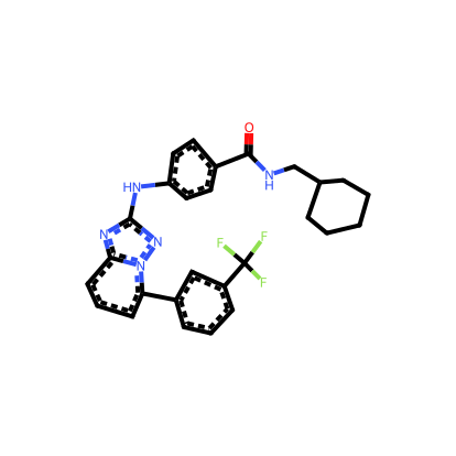 O=C(NCC1CCCCC1)c1ccc(Nc2nc3cccc(-c4cccc(C(F)(F)F)c4)n3n2)cc1